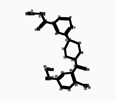 CCCCCCNC(=O)c1ccnc(N2CCN(C(=O)c3cc(NCCCCCC)ccc3C)CC2)c1